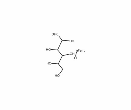 CCCCCCl.O=CC(O)C(O)C(O)C(O)CO